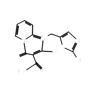 O=C(c1c(O)[n+](Cc2cnc(Cl)s2)c2ccccn2c1=O)C(F)(F)F